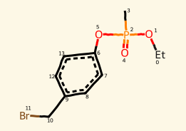 CCOP(C)(=O)Oc1ccc(CBr)cc1